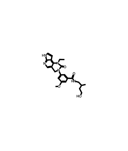 CCN1C(=O)N(c2cc(OC)cc(C(=O)NCC(C)CCO)c2)Cc2cnc3[nH]ccc3c21